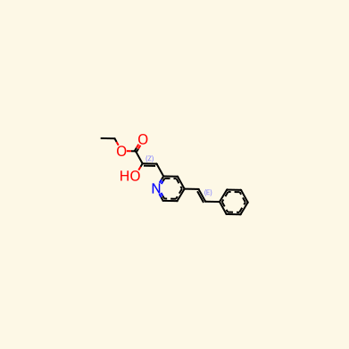 CCOC(=O)/C(O)=C/c1cc(/C=C/c2ccccc2)ccn1